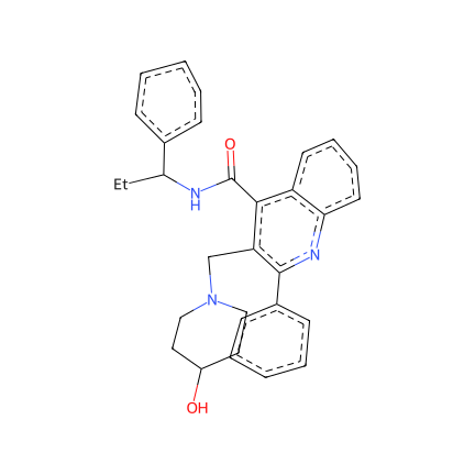 CCC(NC(=O)c1c(CN2CCC(O)CC2)c(-c2ccccc2)nc2ccccc12)c1ccccc1